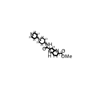 COC(=O)c1ccc2[nH]c(C(=O)NC3CCN(c4ccncc4)CC3)cc2n1